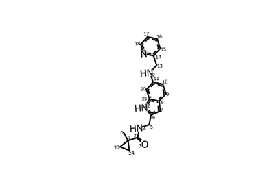 CC1(C(=O)NCc2cc3ccc(NCc4ccccn4)cc3[nH]2)CC1